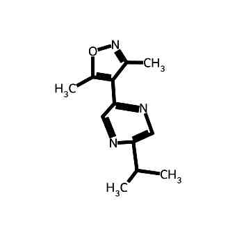 Cc1noc(C)c1-c1cnc(C(C)C)cn1